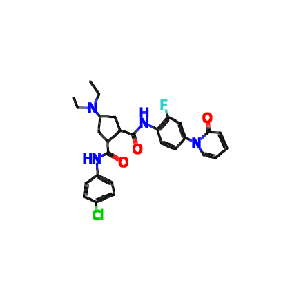 CCN(CC)C1CC(C(=O)Nc2ccc(Cl)cc2)C(C(=O)Nc2ccc(-n3ccccc3=O)cc2F)C1